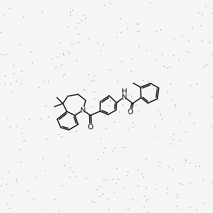 Cc1ccccc1C(=O)Nc1ccc(C(=O)N2CCCC(C)(C)c3ccccc32)cc1